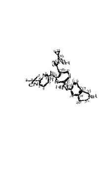 CC(C)(C#N)c1cccc(Nc2nc(Nc3ccc4c(c3)CCNC4)ncc2C(=O)NC2CC2)n1